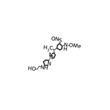 COCNc1ccc(C(C)c2ccn(-c3ccc(NCCO)cn3)n2)cc1SN=O